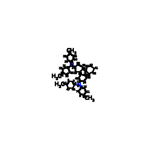 CC1=CC=C(N(c2ccc(C)cc2)c2ccc(C3(C4C=CC(N(c5ccc(C)cc5)c5ccc(C)cc5)=CC4)CCCCC3)cc2)CC1